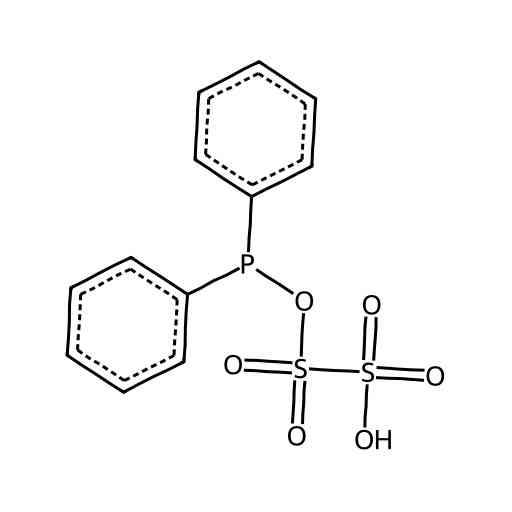 O=S(=O)(O)S(=O)(=O)OP(c1ccccc1)c1ccccc1